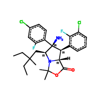 CCC(C)(CC)C[C@@H]1N2[C@@H](C(=O)OC2(C)C)[C@H](c2cccc(Cl)c2F)[C@@]1(N)c1ccc(Cl)cc1F